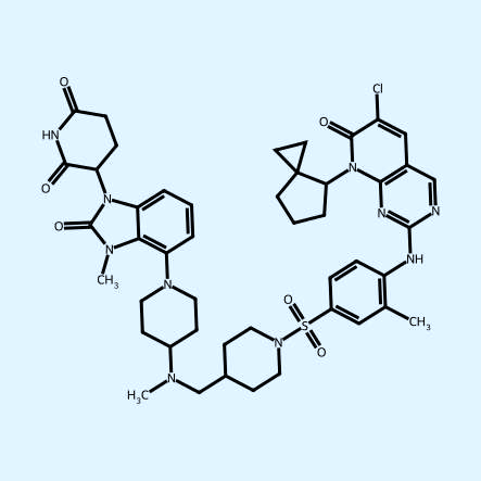 Cc1cc(S(=O)(=O)N2CCC(CN(C)C3CCN(c4cccc5c4n(C)c(=O)n5C4CCC(=O)NC4=O)CC3)CC2)ccc1Nc1ncc2cc(Cl)c(=O)n(C3CCCC34CC4)c2n1